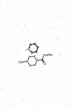 CC(C)(C)OC(=O)N1CCN(N)CC1.c1ccncc1